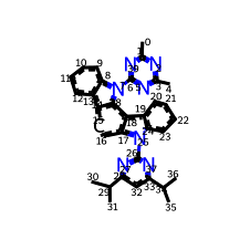 Cc1nc(C)nc(-n2c3ccccc3c3ccc4c(c5ccccc5n4-c4nc(C(C)C)cc(C(C)C)n4)c32)n1